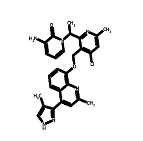 Cc1cc(Cl)c(COc2cccc3c(-c4n[nH]cc4C)cc(C)nc23)c(C(C)n2cccc(N)c2=O)n1